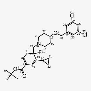 CC(C)(C)OC(=O)C1=CCC(F)(CN2CCC(OCc3cc(Cl)cc(Cl)c3)CC2)C(C2CC2)=C1